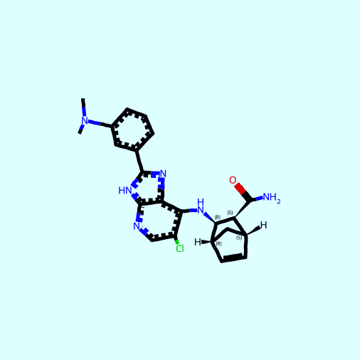 CN(C)c1cccc(-c2nc3c(N[C@H]4[C@@H](C(N)=O)[C@@H]5C=C[C@H]4C5)c(Cl)cnc3[nH]2)c1